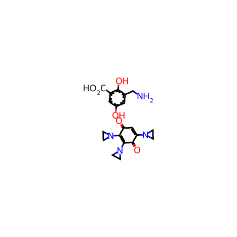 NCc1cc(O)cc(C(=O)O)c1O.O=C1C=C(N2CC2)C(=O)C(N2CC2)=C1N1CC1